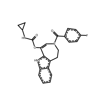 O=C(NC1CC1)OC1=CN(C(=O)c2ccc(F)cc2)CCc2c1[nH]c1ccccc21